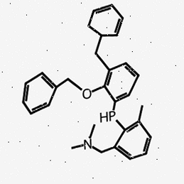 Cc1cccc(CN(C)C)c1Pc1cccc(CC2C=CC=CC2)c1OCc1ccccc1